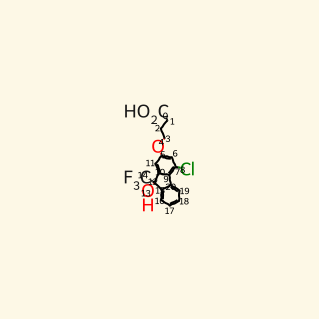 O=C(O)CCCOc1cc(Cl)c2c(c1)C(O)(C(F)(F)F)c1ccccc1-2